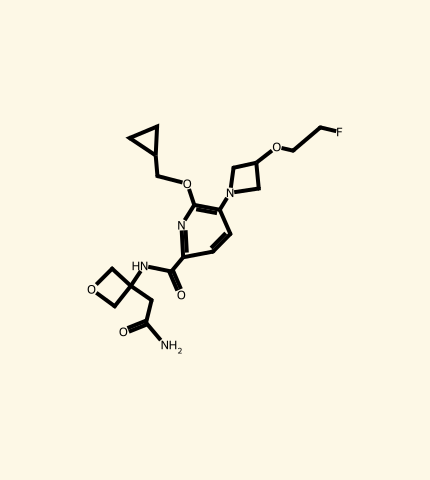 NC(=O)CC1(NC(=O)c2ccc(N3CC(OCCF)C3)c(OCC3CC3)n2)COC1